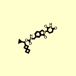 O=C1CCC(N2Cc3ccc(CNC(=O)OC(C4CC4)C4CC5(CCC5)C4)cc3C2=O)C(=O)N1